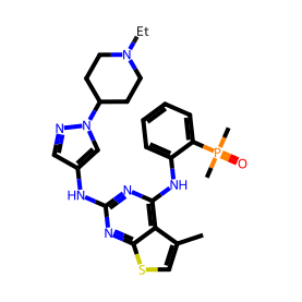 CCN1CCC(n2cc(Nc3nc(Nc4ccccc4P(C)(C)=O)c4c(C)csc4n3)cn2)CC1